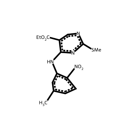 CCOC(=O)c1cnc(SC)nc1Nc1cc(C)ccc1[N+](=O)[O-]